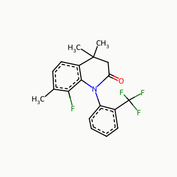 Cc1ccc2c(c1F)N(c1ccccc1C(F)(F)F)C(=O)CC2(C)C